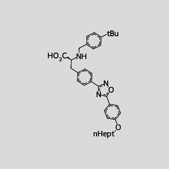 CCCCCCCOc1ccc(-c2nc(-c3ccc(C[C@H](NCc4ccc(C(C)(C)C)cc4)C(=O)O)cc3)no2)cc1